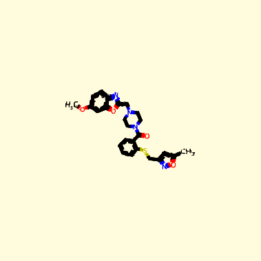 COc1ccc2nc(CN3CCN(C(=O)c4ccccc4SCc4cc(C)on4)CC3)oc2c1